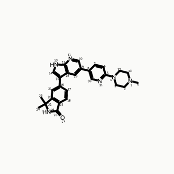 CN1CCN(c2ccc(-c3cnc4[nH]cc(-c5ccc6c(c5)C(C)(C)NC6=O)c4c3)cn2)CC1